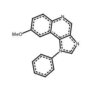 COc1ccc2ncc3ncn(-c4ccccc4)c3c2c1